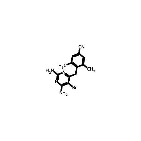 Cc1cc(C#N)cc(C)c1Cc1nc(N)nc(N)c1Br